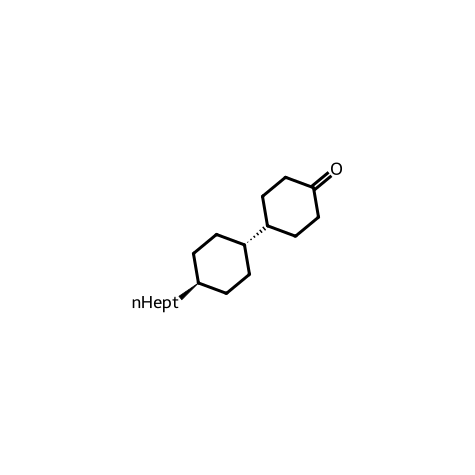 CCCCCCC[C@H]1CC[C@H](C2CCC(=O)CC2)CC1